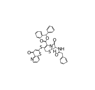 O=C(Cc1ccccc1)NC1C(=O)N2C(C(=O)OC(c3ccccc3)c3ccccc3)=C(Sc3cc(=O)c4ncccc4s3)CS[C@H]12